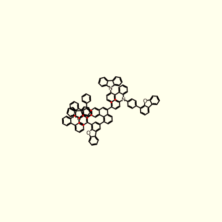 c1ccc(-c2ccccc2-c2ccccc2N(c2ccc(-c3cc(-c4cccc5c(-c6ccc(N(c7ccc(-c8cccc9c8oc8ccccc89)cc7)c7ccccc7-c7ccccc7-n7c8ccccc8c8ccccc87)cc6)cc6ccccc6c45)cc4c3oc3ccccc34)cc2)c2ccccc2-c2ccccc2-n2c3ccccc3c3ccccc32)cc1